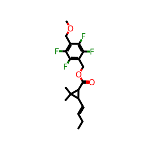 CCC=CC1C(C(=O)OCc2c(F)c(F)c(COC)c(F)c2F)C1(C)C